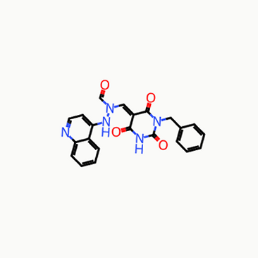 O=CN(C=C1C(=O)NC(=O)N(Cc2ccccc2)C1=O)Nc1ccnc2ccccc12